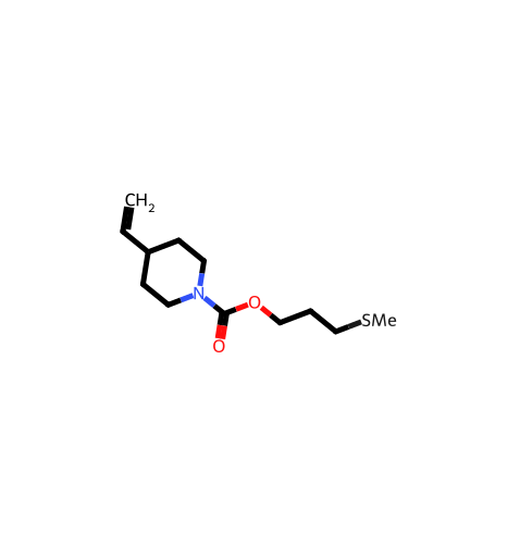 C=CC1CCN(C(=O)OCCCSC)CC1